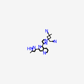 Cc1cc(-c2cc3ncccc3c(-c3ccn(C4(CC#N)CC(C)(C#N)C4)n3)n2)n[nH]1